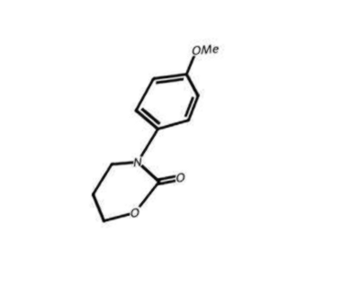 COc1ccc(N2CCCOC2=O)cc1